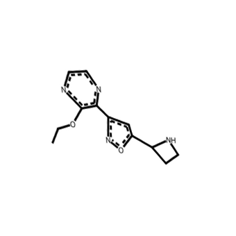 CCOc1nccnc1-c1cc(C2CCN2)on1